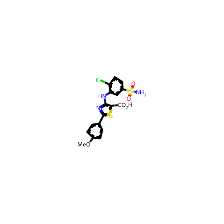 COc1ccc(-c2nc(Nc3cc(S(N)(=O)=O)ccc3Cl)c(C(=O)O)s2)cc1